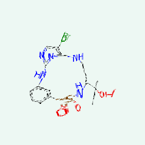 CC(C)(O)C1CCNc2nc(ncc2Br)Nc2cccc(c2)S(=O)(=O)N1